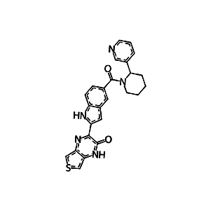 O=C(c1ccc2[nH]c(-c3nc4cscc4[nH]c3=O)cc2c1)N1CCCCC1c1cccnc1